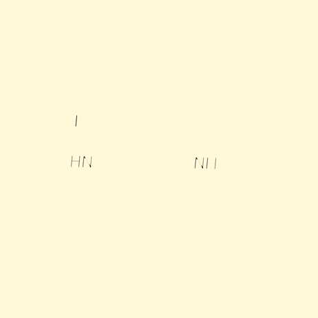 INC1CCNC1